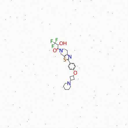 O=C(C(O)C(F)(F)F)N1CCc2nc(-c3ccc(OC4CC(N5CCCCC5)C4)cc3)sc2C1